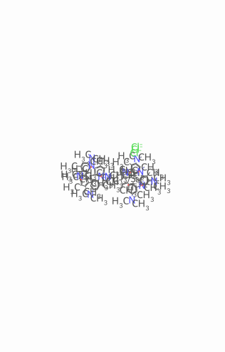 CC1=C(C)C(C)([Si](c2ccc(N(C)C)c(C)c2N(C)C)(c2ccc(N(C)C)c(C)c2N(C)C)c2ccc(N(C)C)c(C)c2N(C)C)[C]([Ti+3])=C1C.CC1=C(C)[C]([Ti])([Si](c2cc(N(C)C)cc(C)c2N(C)C)(c2cc(N(C)C)cc(C)c2N(C)C)c2cc(N(C)C)cc(C)c2N(C)C)C(C)=C1C.[Cl-].[Cl-].[Cl-]